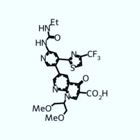 CCNC(=O)Nc1cc(-c2nc(C(F)(F)F)cs2)c(-c2cnc3c(c2)c(=O)c(C(=O)O)cn3C(COC)COC)cn1